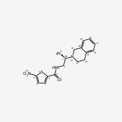 CC(C)[C@H](CNC(=O)c1ccc([N+](=O)[O-])s1)N1CCc2ccccc2C1